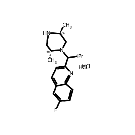 CC(C)C(c1ccc2cc(F)ccc2n1)N1C[C@H](C)NC[C@H]1C.Cl.Cl